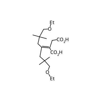 CCOCC(C)(C)CC(CC(C)(C)COCC)=C(CC(=O)O)C(=O)O